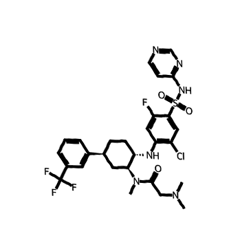 CN(C)CC(=O)N(C)[C@H]1C[C@@H](c2cccc(C(F)(F)F)c2)CC[C@@H]1Nc1cc(F)c(S(=O)(=O)Nc2ccncn2)cc1Cl